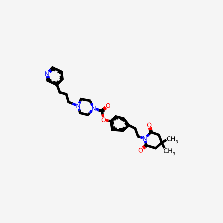 CC1(C)CC(=O)N(CCc2ccc(OC(=O)N3CCN(CCCc4cccnc4)CC3)cc2)C(=O)C1